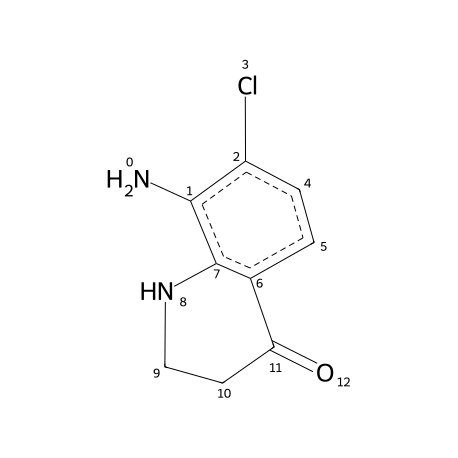 Nc1c(Cl)ccc2c1NCCC2=O